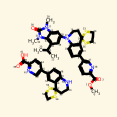 COC(=O)c1ccc(-c2ccc3c(c2)C2(CCN3c3cc(C(C)C)c4c(c3)n(C)c(=O)n4C)SCCS2)cn1.O=C(O)c1ccc(-c2ccc3c(c2)C2(CCN3)SCCS2)cn1